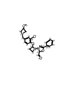 COC1CN(Cc2ccc(OC3CCN3N3N=C(c4ccccc4)OC3C=O)c(Cl)c2)C1